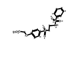 CCOC(=O)COc1ccc(S(=O)(=O)CCNS(=O)(=O)c2ccccc2)cc1